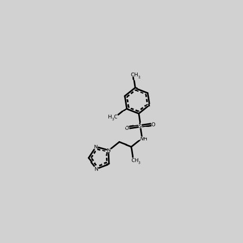 Cc1ccc(S(=O)(=O)NC(C)Cn2cncn2)c(C)c1